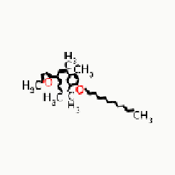 CCC/C=C(/C=C(/C)c1cc(CC)c(OCCCCCCCCCCCC)cc1C)c1ccc(C)o1